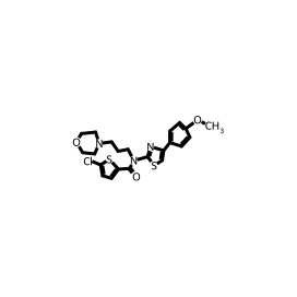 COc1ccc(-c2csc(N(CCCN3CCOCC3)C(=O)c3ccc(Cl)s3)n2)cc1